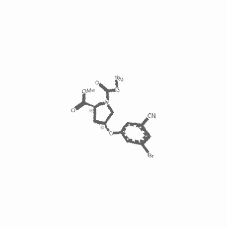 COC(=O)[C@@H]1C[C@H](Oc2cc(Br)cc(C#N)c2)CN1C(=O)OC(C)(C)C